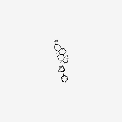 C[C@]12CCC3C(CC=C4C[C@@H](O)CC[C@@]43C)[C@@H]1CC[C@@H]2n1cc(-c2ccccc2)nn1